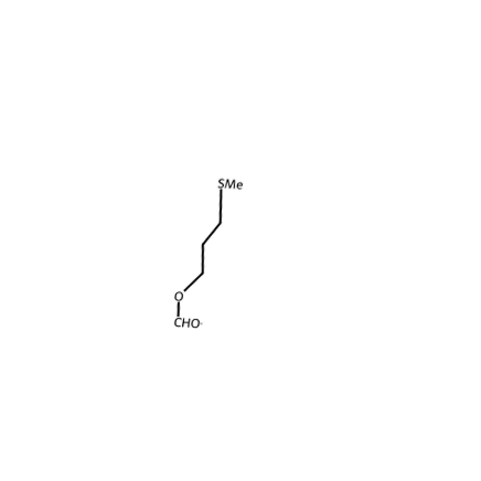 CSCCCO[C]=O